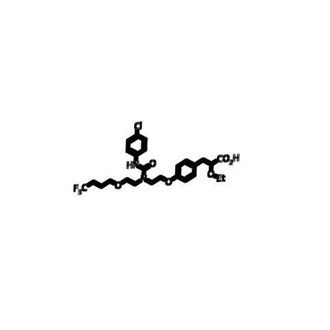 CCOC(Cc1ccc(OCCN(CCOCCCC(F)(F)F)C(=O)Nc2ccc(Cl)cc2)cc1)C(=O)O